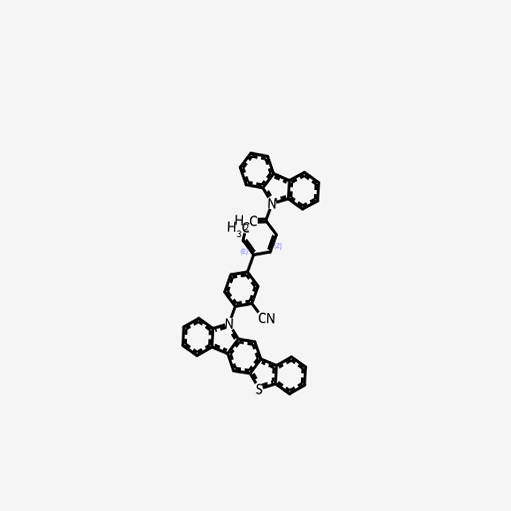 C=C(/C=C\C(=C/C)c1ccc(-n2c3ccccc3c3cc4sc5ccccc5c4cc32)c(C#N)c1)n1c2ccccc2c2ccccc21